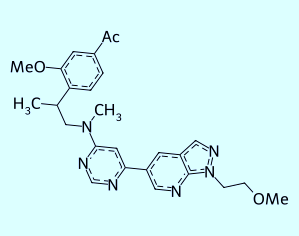 COCCn1ncc2cc(-c3cc(N(C)CC(C)c4ccc(C(C)=O)cc4OC)ncn3)cnc21